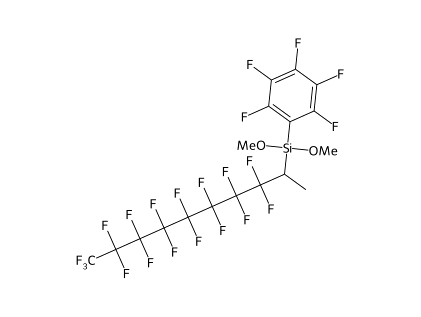 CO[Si](OC)(c1c(F)c(F)c(F)c(F)c1F)C(C)C(F)(F)C(F)(F)C(F)(F)C(F)(F)C(F)(F)C(F)(F)C(F)(F)C(F)(F)F